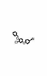 N#Cc1ccc(Oc2ccc(OCc3ccccc3)c(Cl)c2)cc1